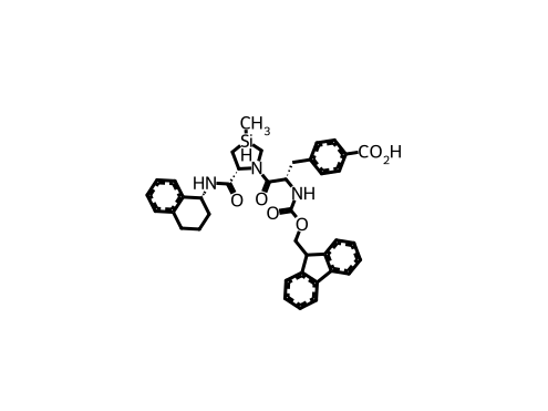 C[SiH]1C[C@@H](C(=O)N[C@@H]2CCCc3ccccc32)N(C(=O)[C@H](Cc2ccc(C(=O)O)cc2)NC(=O)OCC2c3ccccc3-c3ccccc32)C1